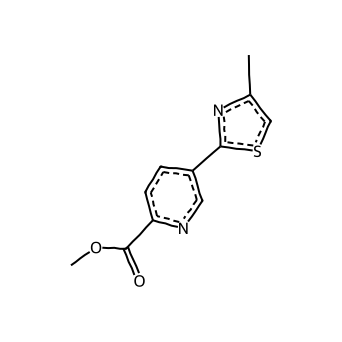 COC(=O)c1ccc(-c2nc(C)cs2)cn1